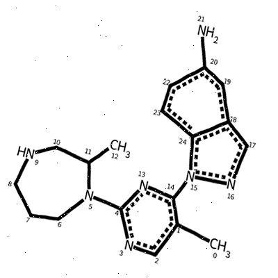 Cc1cnc(N2CCCNCC2C)nc1-n1ncc2cc(N)ccc21